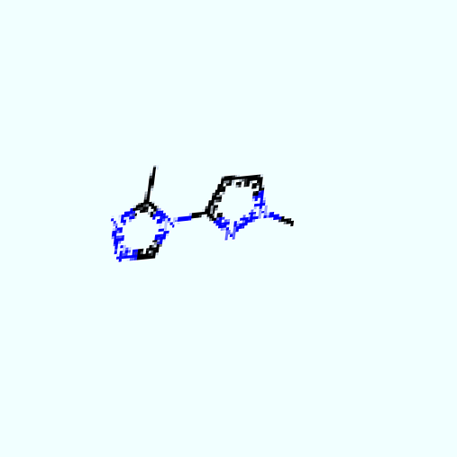 Cc1nncn1-c1ccn(C)n1